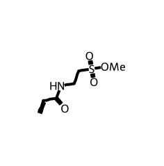 C=CC(=O)NCCS(=O)(=O)OC